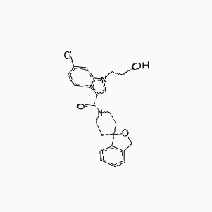 O=C(c1cn(CCO)c2cc(Cl)ccc12)N1CCC2(CC1)OCc1ccccc12